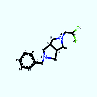 FC(F)CN1CC2CN(Cc3ccccc3)CC2C1